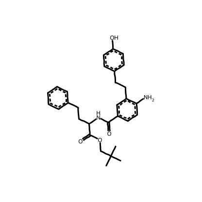 CC(C)(C)COC(=O)C(CCc1ccccc1)NC(=O)c1ccc(N)c(CCc2ccc(O)cc2)c1